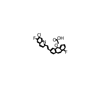 O=C(O)COC1c2cc(C=Cc3ccc4cc(F)c(Cl)cc4n3)ccc2C=Cc2c(F)cccc21